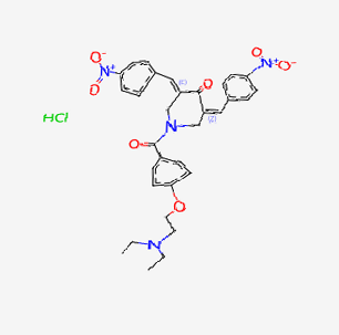 CCN(CC)CCOc1ccc(C(=O)N2C/C(=C/c3ccc([N+](=O)[O-])cc3)C(=O)/C(=C/c3ccc([N+](=O)[O-])cc3)C2)cc1.Cl